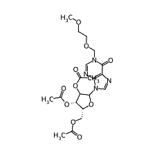 COCCOCn1cnc2c(ncn2C2O[C@H](COC(C)=O)[C@H](OC(C)=O)C2OC(C)=O)c1=O